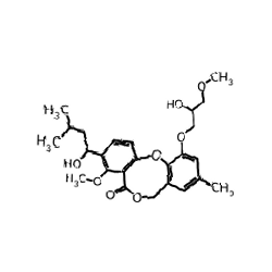 COCC(O)COc1cc(C)cc2c1Oc1ccc(C(O)CC(C)C)c(OC)c1C(=O)OC2